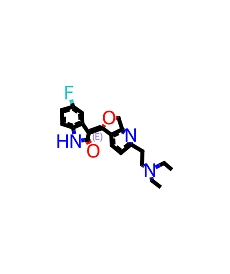 CCN(CC)CCc1ccc2c(n1)CO/C2=C1/C(=O)Nc2ccc(F)cc21